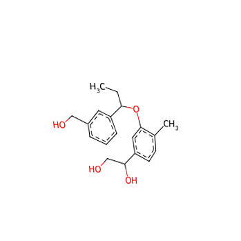 CCC(Oc1cc(C(O)CO)ccc1C)c1cccc(CO)c1